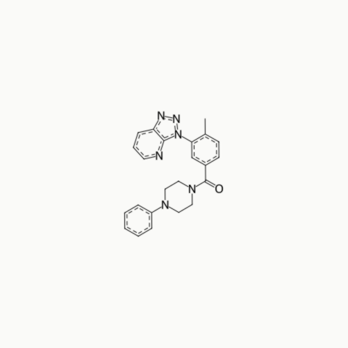 Cc1ccc(C(=O)N2CCN(c3ccccc3)CC2)cc1-n1nnc2cccnc21